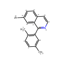 Cc1ccc(C)c(-c2nccc3ccc(C(C)C)cc23)c1